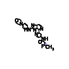 C/C(F)=C/C(=O)Nc1ccnc(-c2nccc3cnc(Nc4ccc(N5CCOCC5)cc4)nc23)c1